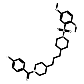 COc1ccc(OC)c(S(=O)(=O)N2CCC(CCCC3CCN(C(=O)c4ccc(Cl)cc4)CC3)CC2)c1